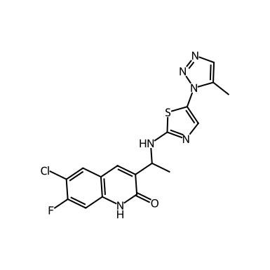 Cc1cnnn1-c1cnc(NC(C)c2cc3cc(Cl)c(F)cc3[nH]c2=O)s1